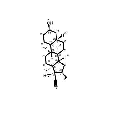 C#C[C@]1(O)[C@H](F)C[C@H]2[C@@H]3CC[C@H]4C[C@H](O)CC[C@]4(C)[C@H]3CC[C@@]21C